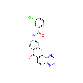 O=C(Nc1ccc(C(=O)c2ccc3nccnc3c2)c(F)c1)c1cccc(Cl)c1